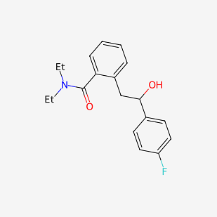 CCN(CC)C(=O)c1ccccc1CC(O)c1ccc(F)cc1